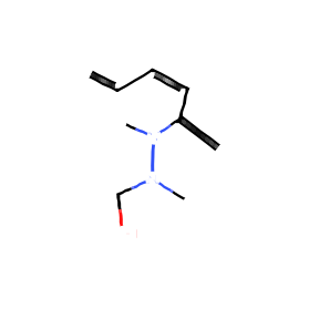 C=C/C=C\C(=C)N(C)N(C)CO